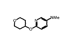 CNc1ccc(OC2CCOCC2)nc1